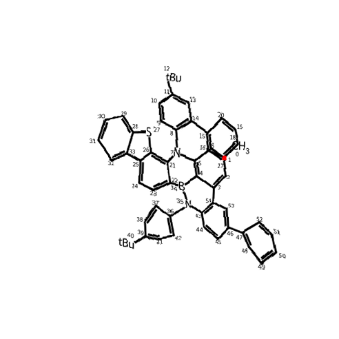 Cc1cc2c3c(c1)N(c1ccc(C(C)(C)C)cc1-c1ccccc1)c1c(ccc4c1sc1ccccc14)B3N(c1ccc(C(C)(C)C)cc1)c1ccc(-c3ccccc3)cc1-2